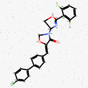 O=C1/C(=C/c2ccc(-c3ccc(Cl)cc3)cc2)OCN1C1COC(c2c(F)cccc2F)=N1